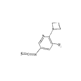 FC(F)(F)c1cc(N=C=S)cnc1N1CCC1